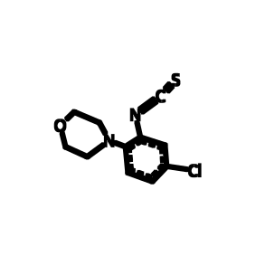 S=C=Nc1cc(Cl)ccc1N1CCOCC1